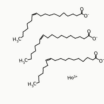 CCCCCC/C=C\CCCCCCCCCC(=O)[O-].CCCCCC/C=C\CCCCCCCCCC(=O)[O-].CCCCCC/C=C\CCCCCCCCCC(=O)[O-].[Ho+3]